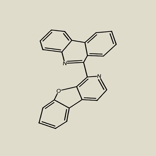 c1ccc2c(c1)nc(-c1nccc3c1oc1ccccc13)c1ccccc12